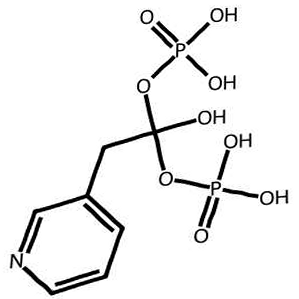 O=P(O)(O)OC(O)(Cc1cccnc1)OP(=O)(O)O